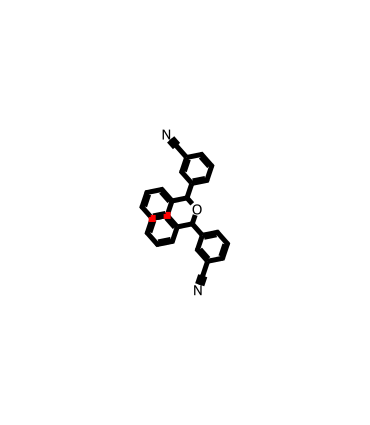 N#Cc1cccc(C(OC(c2ccccc2)c2cccc(C#N)c2)c2ccccc2)c1